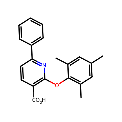 Cc1cc(C)c(Oc2nc(-c3ccccc3)ccc2C(=O)O)c(C)c1